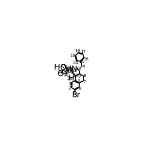 Brc1ccc2c(c1)CCC1[C@@H]2CN[C@@H]1Cc1ccccc1.CS(=O)(=O)O